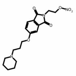 O=C1c2ccc(OCCCN3CCCCC3)cc2C(=O)N1CCO[N+](=O)[O-]